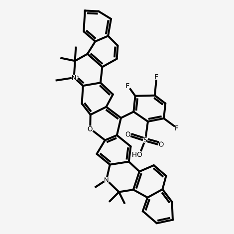 CN1c2cc3c(cc2-c2ccc4ccccc4c2C1(C)C)C(c1c(F)c(F)cc(F)c1S(=O)(=O)O)=c1cc2c(cc1O3)=[N+](C)C(C)(C)c1c-2ccc2ccccc12